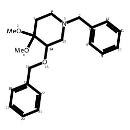 COC1(OC)CCN(Cc2ccccc2)CC1OCc1ccccc1